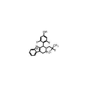 CC(C)(F)CN1CCc2c([nH]c3ccccc23)C1c1c(F)cc(O)cc1F